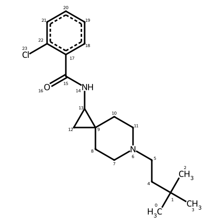 CC(C)(C)CCN1CCC2(CC1)CC2NC(=O)c1ccccc1Cl